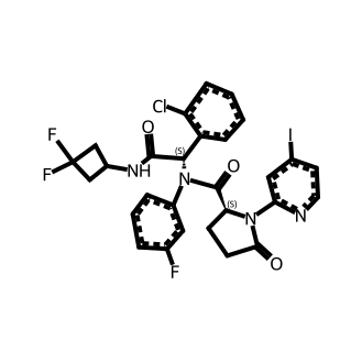 O=C(NC1CC(F)(F)C1)[C@H](c1ccccc1Cl)N(C(=O)[C@@H]1CCC(=O)N1c1cc(I)ccn1)c1cccc(F)c1